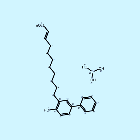 CCCCCCCCC=CCCCCCCCCc1cc(-c2ccccc2)ccc1O.OP(O)O